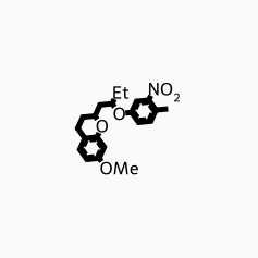 [CH2]CC(CC1CCc2ccc(OC)cc2O1)Oc1ccc(C)c([N+](=O)[O-])c1